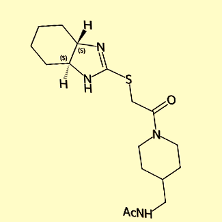 CC(=O)NCC1CCN(C(=O)CSC2=N[C@H]3CCCC[C@@H]3N2)CC1